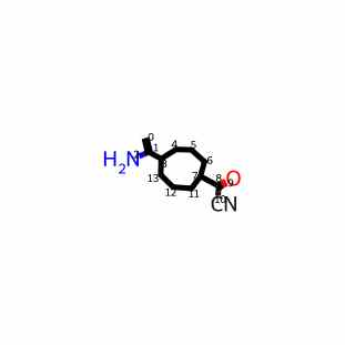 C=C(N)C1CCCC(C(=O)C#N)CCC1